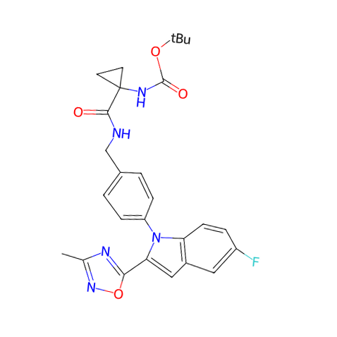 Cc1noc(-c2cc3cc(F)ccc3n2-c2ccc(CNC(=O)C3(NC(=O)OC(C)(C)C)CC3)cc2)n1